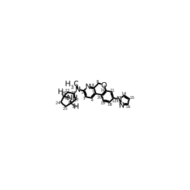 CN(c1ccc2c(n1)COc1cc(-n3cccn3)ccc1-2)[C@@H]1C[C@H]2CC[C@@H](C1)N2